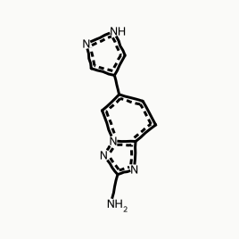 Nc1nc2ccc(-c3cn[nH]c3)cn2n1